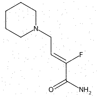 NC(=O)C(F)=CCN1CCCCC1